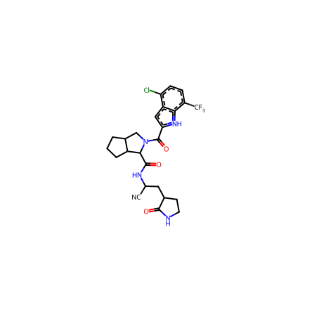 N#CC(CC1CCNC1=O)NC(=O)C1C2CCCC2CN1C(=O)c1cc2c(Cl)ccc(C(F)(F)F)c2[nH]1